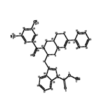 CC(C)(C)OC(=O)n1cc(CC2CN3C=C(c4ncccn4)CCC3CN2C(=O)c2cc(C(F)(F)F)cc(C(F)(F)F)c2)c2ccccc21